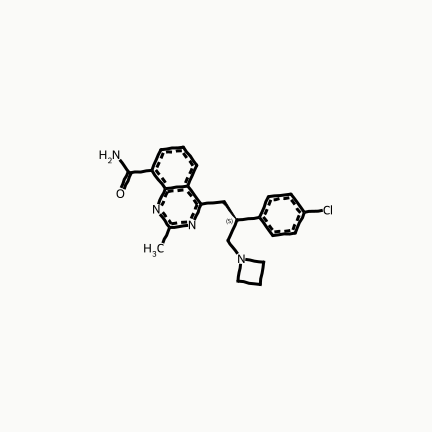 Cc1nc(C[C@H](CN2CCC2)c2ccc(Cl)cc2)c2cccc(C(N)=O)c2n1